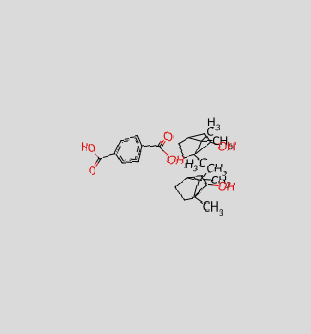 CC1(C)C2CCC1(C)C(O)C2.CC1(C)C2CCC1(C)C(O)C2.O=C(O)c1ccc(C(=O)O)cc1